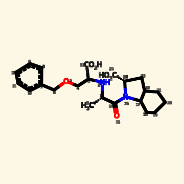 C[C@H](NC(COCc1ccccc1)C(=O)O)C(=O)N1C2CCCCC2C[C@H]1C(=O)O